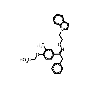 Cc1cc(C(Cc2ccccc2)=NOCCn2ccc3ccccc32)ccc1OCC(=O)O